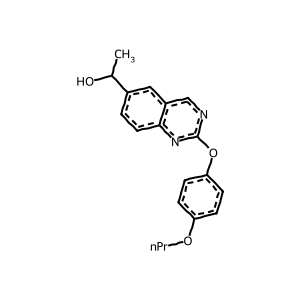 CCCOc1ccc(Oc2ncc3cc(C(C)O)ccc3n2)cc1